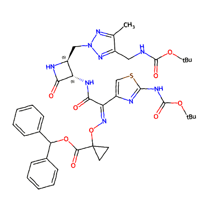 Cc1nn(C[C@@H]2NC(=O)[C@H]2NC(=O)C(=NOC2(C(=O)OC(c3ccccc3)c3ccccc3)CC2)c2csc(NC(=O)OC(C)(C)C)n2)nc1CNC(=O)OC(C)(C)C